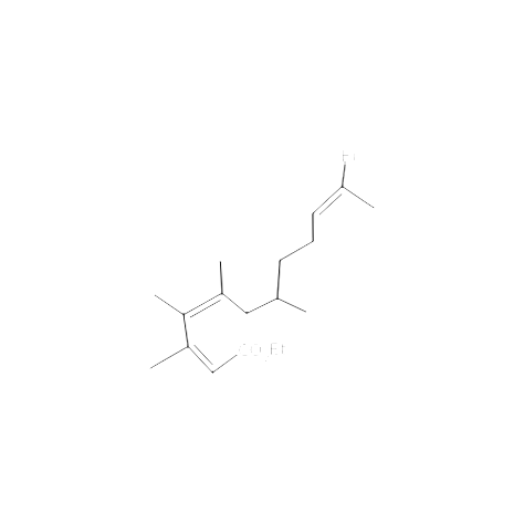 CCOC(=O)C=C(C)C(C)=C(C)CC(C)CCC=C(C)CC